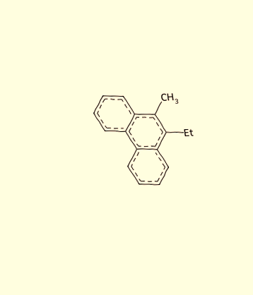 CCc1c(C)c2ccccc2c2ccccc12